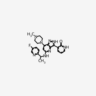 CC(Nc1cc(N2CCN(C)CC2)c2n[nH]c(-c3ccc[nH]c3=O)c2n1)c1ccc(F)cn1